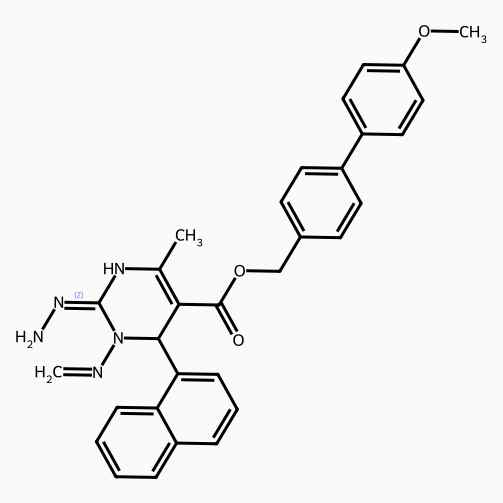 C=NN1/C(=N\N)NC(C)=C(C(=O)OCc2ccc(-c3ccc(OC)cc3)cc2)C1c1cccc2ccccc12